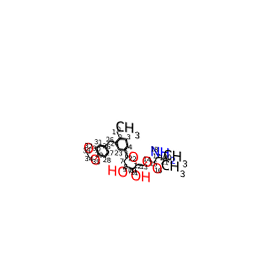 CCc1ccc(C2CC(O)[C@H](O)C(COC(=O)C(N)C(C)C)O2)cc1Cc1ccc2c(c1)OCCO2